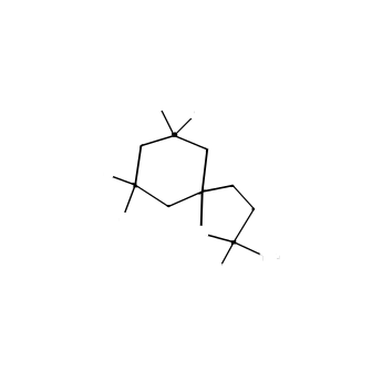 CCCCC1(CCCC)CCC2(CC(C)(C)CC(C)(C)C2)O1